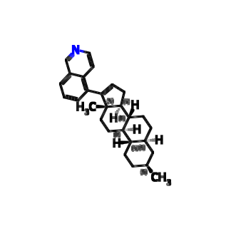 C[C@H]1CC[C@H]2[C@@H](CC[C@@H]3[C@@H]2CC[C@]2(C)C(c4cccc5cnccc45)=CC[C@@H]32)C1